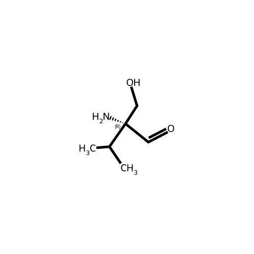 CC(C)[C@](N)(C=O)CO